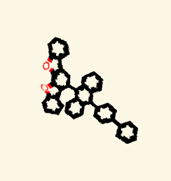 c1ccc(-c2ccc(-c3c4ccccc4c(-c4cc5c6ccccc6oc5c5oc6ccccc6c45)c4ccccc34)cc2)cc1